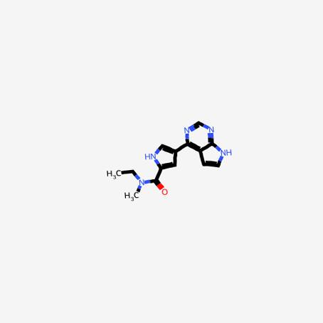 CCN(C)C(=O)c1cc(-c2ncnc3[nH]ccc23)c[nH]1